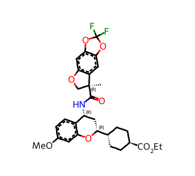 CCOC(=O)[C@H]1CC[C@H]([C@H]2C[C@@H](NC(=O)[C@@]3(C)COc4cc5c(cc43)OC(F)(F)O5)c3ccc(OC)cc3O2)CC1